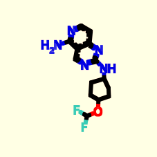 Nc1nccc2nc(NC3CCC(OC(F)F)CC3)ncc12